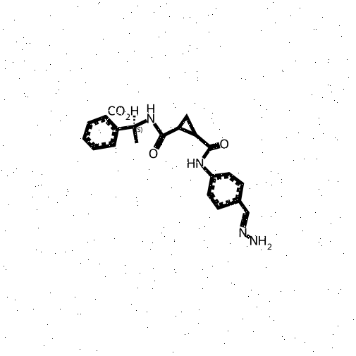 C[C@@](NC(=O)C1CC1C(=O)Nc1ccc(C=NN)cc1)(C(=O)O)c1ccccc1